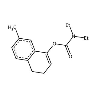 CCN(CC)C(=O)OC1=CCCc2ccc(C)cc21